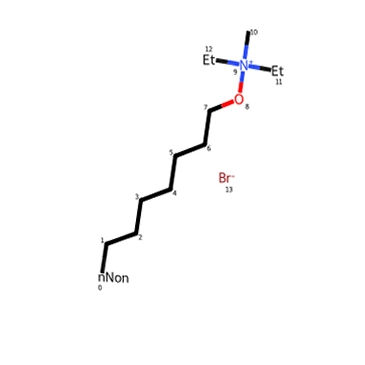 CCCCCCCCCCCCCCCCO[N+](C)(CC)CC.[Br-]